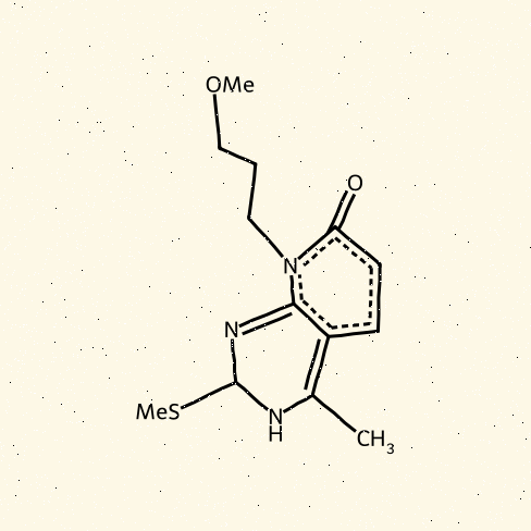 COCCCn1c(=O)ccc2c1=NC(SC)NC=2C